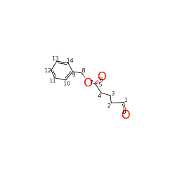 O=CCCCC(=O)OCc1ccccc1